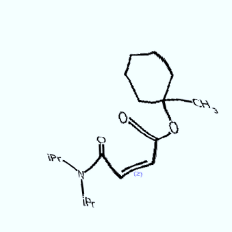 CC(C)N(C(=O)/C=C\C(=O)OC1(C)CCCCC1)C(C)C